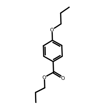 CCCOC(=O)c1ccc(OCCC)cc1